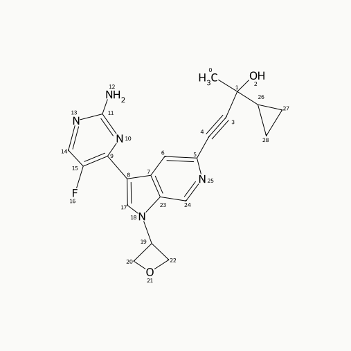 CC(O)(C#Cc1cc2c(-c3nc(N)ncc3F)cn(C3COC3)c2cn1)C1CC1